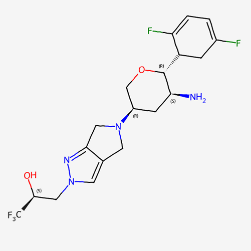 N[C@H]1C[C@@H](N2Cc3cn(C[C@H](O)C(F)(F)F)nc3C2)CO[C@@H]1C1CC(F)=CC=C1F